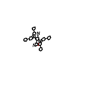 N#Cc1cc(-n2c3ccc(-c4ccccc4)cc3c3cc(-c4ccccc4)ccc32)c(-c2cccnc2)cc1-n1c2ccc(-c3ccccc3)cc2c2cc(-c3ccccc3)ccc21